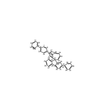 C=c1c2cc(-c3ccc(-c4ccccn4)cc3)cc1=CC=CC21c2ccccc2-c2ccc(-c3ccccc3)cc21